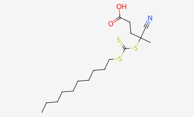 CCCCCCCCCCSC(=S)SC(C)(C#N)CCC(=O)O